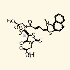 CN1C(=CC=CC(=O)N(CC(=O)O)/C(S)=C2\SC(=S)N(CC(=O)O)C2=O)Sc2ccc3ccccc3c21